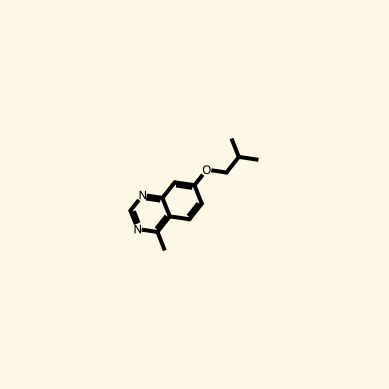 Cc1ncnc2cc(OCC(C)C)ccc12